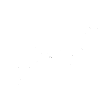 CN(C)C1CCN(Cc2ccc(NC(=O)c3cccc(B4OC(C)(C)C(C)(C)O4)c3)cc2)CC1